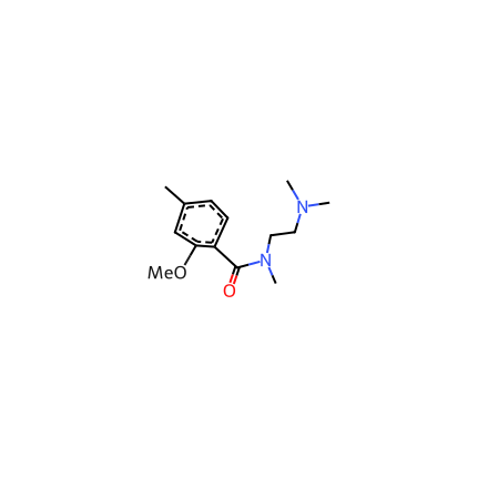 COc1cc(C)ccc1C(=O)N(C)CCN(C)C